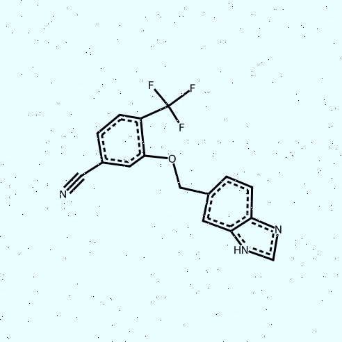 N#Cc1ccc(C(F)(F)F)c(OCc2ccc3nc[nH]c3c2)c1